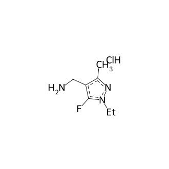 CCn1nc(C)c(CN)c1F.Cl